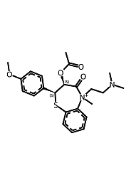 COc1ccc([C@@H]2Sc3ccccc3[N+](C)(CCN(C)C)C(=O)[C@@H]2OC(C)=O)cc1